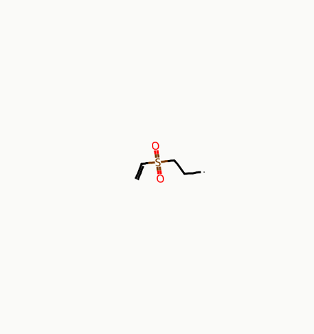 [CH2]CCS(=O)(=O)C=C